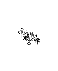 CC(=O)N1CCC(CC(=O)N2CCN(C(c3ccccc3)c3ccc(NS(=O)(=O)C(F)(F)F)cc3)C[C@@H]2C(C)(C)C)CC1